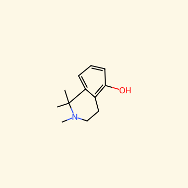 CN1CCc2c(O)cccc2C1(C)C